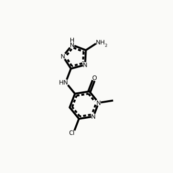 Cn1nc(Cl)cc(Nc2n[nH]c(N)n2)c1=O